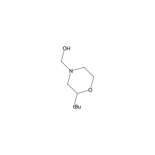 CC(C)(C)C1CN(CO)CCO1